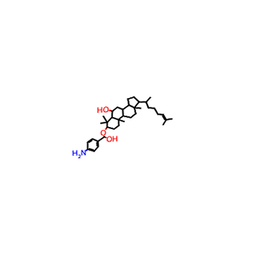 CC(C)=CCCCC(C)C1CCC2C3CC(O)C4C(C)(C)C(OC(O)c5ccc(N)cc5)CCC4(C)C3CCC12C